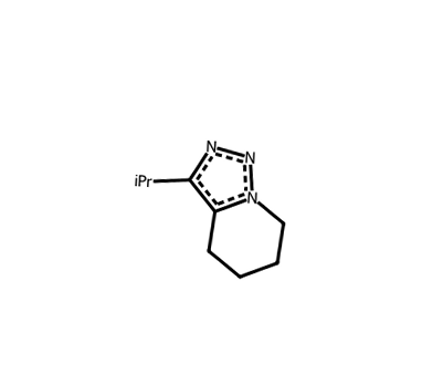 CC(C)c1nnn2c1CCCC2